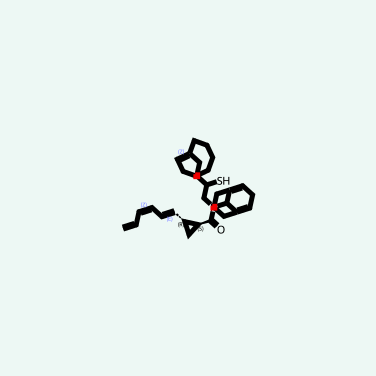 C=C/C=C\C=C\[C@H]1C[C@@H]1C(=O)N(CC(S)CC/C1=C\CCCCCC1)C1C2=CCC=C1CCC2